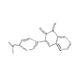 CN(C)c1ccc(C2=Cc3ccccc3C(=O)C2=O)cc1